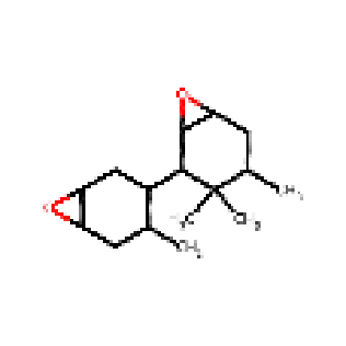 CC1CC2OC2CC1C1C2OC2CC(C)C1(C)C